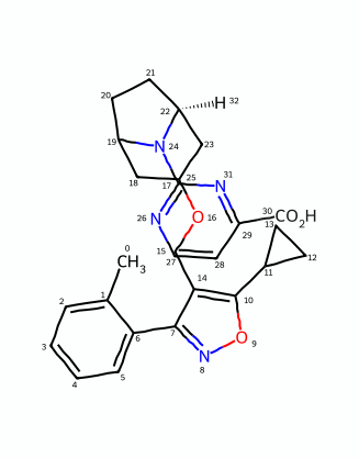 Cc1ccccc1-c1noc(C2CC2)c1COC1CC2CC[C@@H](C1)N2c1nccc(C(=O)O)n1